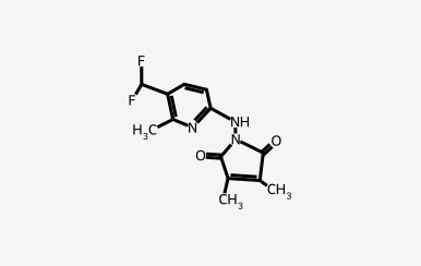 CC1=C(C)C(=O)N(Nc2ccc(C(F)F)c(C)n2)C1=O